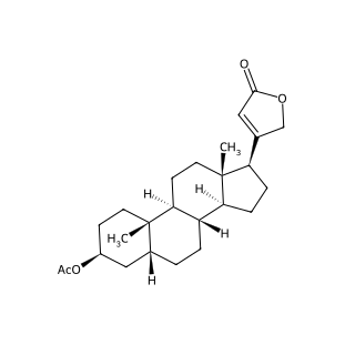 CC(=O)O[C@H]1CC[C@@]2(C)[C@H](CC[C@@H]3[C@@H]2CC[C@]2(C)[C@@H](C4=CC(=O)OC4)CC[C@@H]32)C1